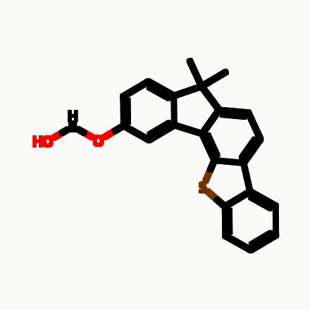 CC1(C)c2ccc(OBO)cc2-c2c1ccc1c2sc2ccccc21